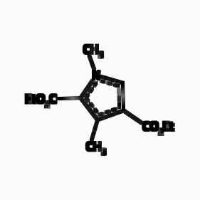 CCOC(=O)c1cn(C)c(C(=O)OCC)c1C